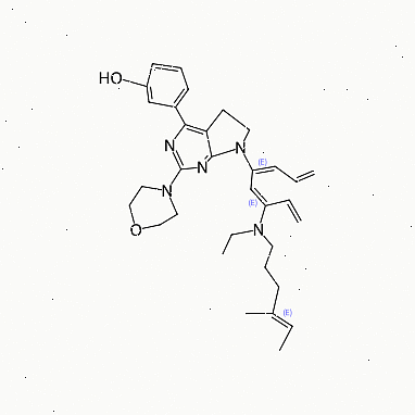 C=C/C=C(\C=C(/C=C)N(CC)CCC/C(C)=C/C)N1CCc2c(-c3cccc(O)c3)nc(N3CCOCC3)nc21